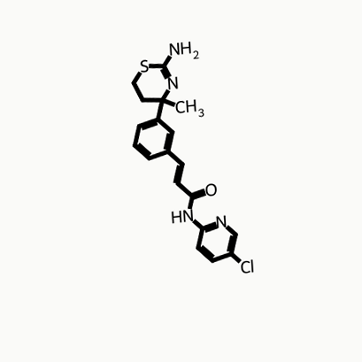 CC1(c2cccc(/C=C/C(=O)Nc3ccc(Cl)cn3)c2)CCSC(N)=N1